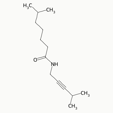 CC(C)C#CCNC(=O)CCCCC(C)C